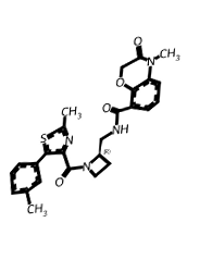 Cc1cccc(-c2sc(C)nc2C(=O)N2CC[C@@H]2CNC(=O)c2cccc3c2OCC(=O)N3C)c1